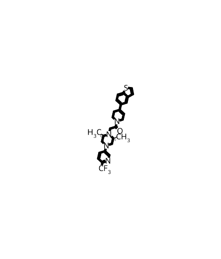 C[C@@H]1CN(c2ccc(C(F)(F)F)nc2)C[C@H](C)N1CC(=O)N1CC=C(c2ccc3sccc3c2)CC1